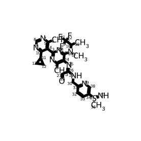 Cc1nc(-c2c(C)ncnc2C2CC2)nc(N(C)C(C)C(F)(F)F)c1/N=C(\C=O)NCc1ccc(S(C)=N)cn1